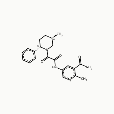 Cc1ncc(NC(=O)C(=O)N2C[C@H](C)CC[C@H]2c2ccccc2)cc1C(N)=O